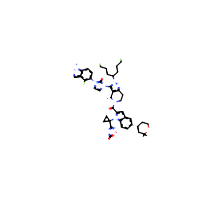 C[C@H]1c2c(nn(C(CCCF)CCCF)c2-n2ccn(-c3ccc4c(cnn4C)c3F)c2=O)CCN1C(=O)c1cc2cc([C@H]3CCOC(C)(C)C3)ccc2n1C1(c2noc(=O)[nH]2)CC1